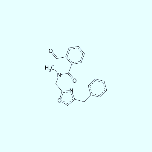 CN(Cc1nc(Cc2ccccc2)co1)C(=O)c1ccccc1C=O